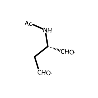 CC(=O)N[C@H]([C]=O)C[C]=O